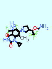 CC1=C2C(C(=O)NC(=O)N2C2CC2)C(N)(C(F)F)C(F)=C1N1CCC(C(OCN)C(F)(F)F)C1